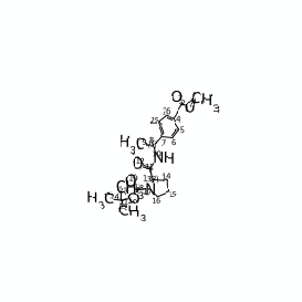 COC(=O)c1ccc([C@H](C)NC(=O)[C@H]2CCCN2C(=O)OC(C)(C)C)cc1